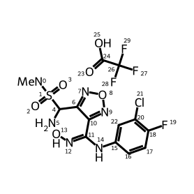 CNS(=O)(=O)C(N)c1nonc1/C(=N\O)Nc1ccc(F)c(Cl)c1.O=C(O)C(F)(F)F